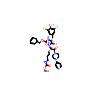 CC(C)(C)OC(=O)NCCCC[C@H](NC(=O)[C@@H](Cc1cc(Cl)c(O)c(Cl)c1)NC(=O)OCc1ccccc1)C(=O)N1CCN(c2ccncc2)CC1